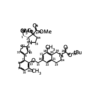 COC[C@H]1N(c2nc(-c3cccc(C)c3OCc3cc(C)c4c(c3)CCN(C(=O)OC(C)(C)C)C4)cs2)CC[C@@]1(C)C(=O)OC